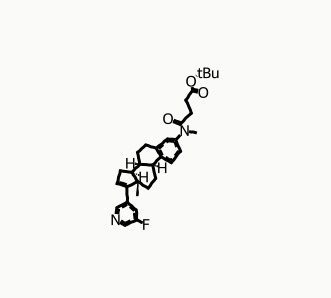 CN(C(=O)CCC(=O)OC(C)(C)C)c1ccc2c(c1)CC[C@@H]1[C@@H]2CC[C@]2(C)C(c3cncc(F)c3)=CC[C@@H]12